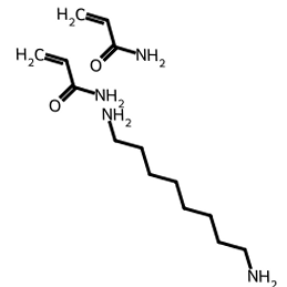 C=CC(N)=O.C=CC(N)=O.NCCCCCCCCN